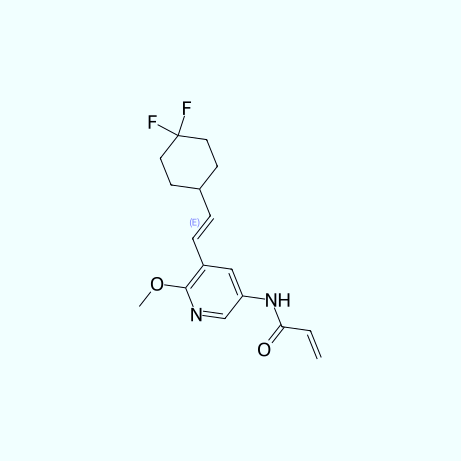 C=CC(=O)Nc1cnc(OC)c(/C=C/C2CCC(F)(F)CC2)c1